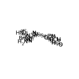 C[C@]12CCC(=O)C[C@@H]1CC[C@@H]1[C@@H]2CC[C@]2(C)[C@@H](OCCCCCn3cc(-c4cnn5c(N)c(Br)c([C@@H]6CCCNC6)nc45)cn3)CC[C@@H]12